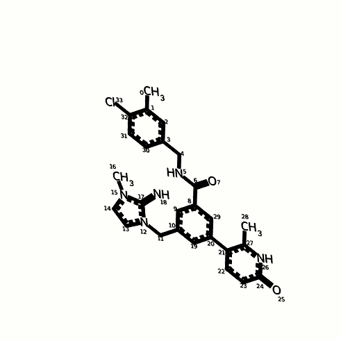 Cc1cc(CNC(=O)c2cc(Cn3ccn(C)c3=N)cc(-c3ccc(=O)[nH]c3C)c2)ccc1Cl